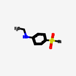 CCS(=O)(=O)c1ccc(NCC(F)(F)F)cc1